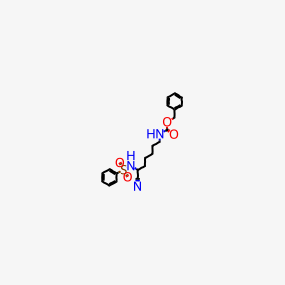 N#CC(CCCCCNC(=O)OCc1ccccc1)NS(=O)(=O)c1ccccc1